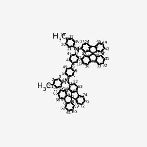 Cc1ccc(N(c2ccc(-c3ccc(N(c4ccc(C)cc4)c4ccc5c(c4)C4(c6ccccc6-c6ccccc64)c4ccccc4-5)cc3)cc2)c2ccc3c(c2)C2(c4ccccc4-c4ccccc42)c2ccccc2-3)cc1